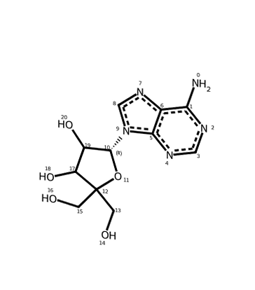 Nc1ncnc2c1ncn2[C@@H]1OC(CO)(CO)C(O)C1O